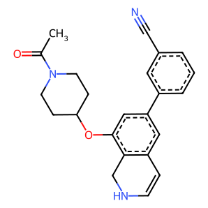 CC(=O)N1CCC(Oc2cc(-c3cccc(C#N)c3)cc3c2CNC=C3)CC1